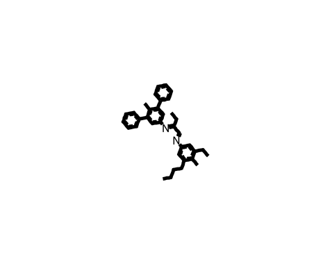 CCCCc1cc(N=CC(CC)=Nc2cc(-c3ccccc3)c(C)c(-c3ccccc3)c2)cc(CC)c1C